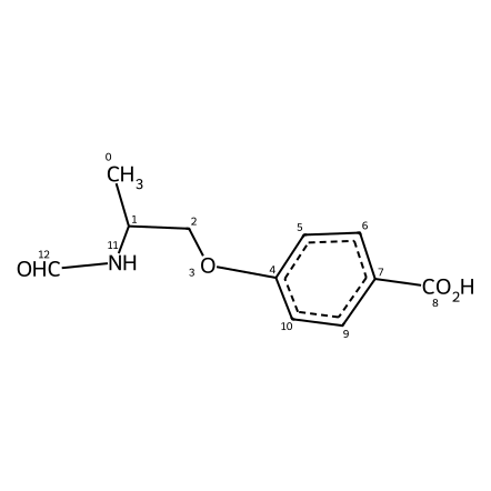 CC(COc1ccc(C(=O)O)cc1)NC=O